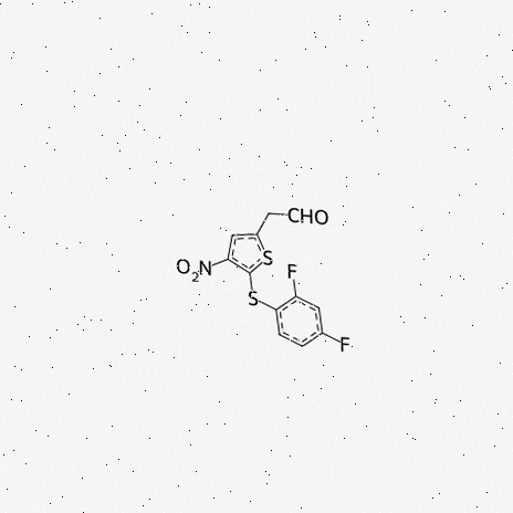 O=CCc1cc([N+](=O)[O-])c(Sc2ccc(F)cc2F)s1